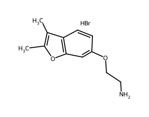 Br.Cc1oc2cc(OCCN)ccc2c1C